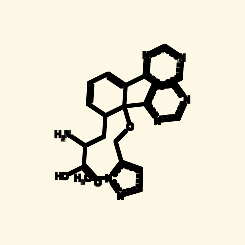 Cn1nccc1COC1(c2ccncn2)C(c2ccncn2)=CC=CC1CC(N)C(=O)O